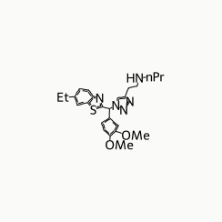 CCCNCCc1cn(C(c2ccc(OC)c(OC)c2)c2nc3ccc(CC)cc3s2)nn1